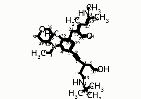 CCN(c1cc(C#CC(CCO)CCNC(C)(C)C)cc(C/C(C=O)=C(C)/C=C(/C)NC)c1C)C1CCOCC1